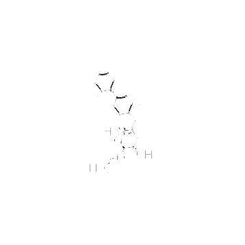 CCOC(=O)[C@H](C)C[C@@H](N)Cc1ccc(-c2ccccc2)cc1